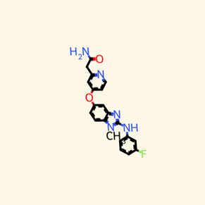 Cn1c(Nc2cccc(F)c2)nc2cc(Oc3ccnc(CC(N)=O)c3)ccc21